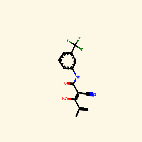 C=C(C)/C(O)=C(\C#N)C(=O)Nc1cccc(C(F)(F)F)c1